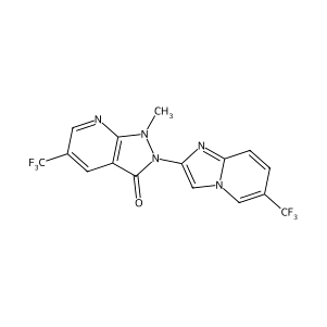 Cn1c2ncc(C(F)(F)F)cc2c(=O)n1-c1cn2cc(C(F)(F)F)ccc2n1